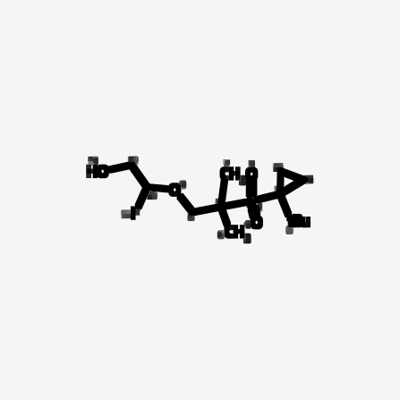 CC(C)(C)C1(S(=O)(=O)C(C)(C)COC(F)CO)CC1